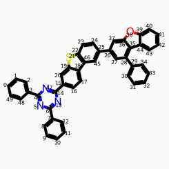 c1ccc(-c2nc(-c3ccccc3)nc(-c3ccc4c(c3)sc3ccc(-c5cc(-c6ccccc6)c6c(c5)oc5ccccc56)cc34)n2)cc1